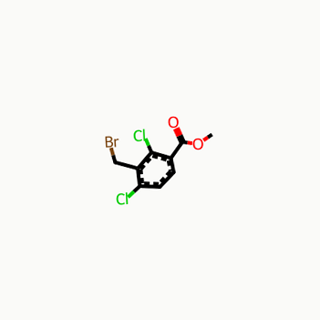 COC(=O)c1ccc(Cl)c(CBr)c1Cl